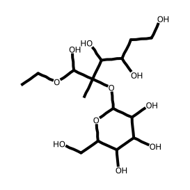 CCOC(O)C(C)(OC1OC(CO)C(O)C(O)C1O)C(O)C(O)CCO